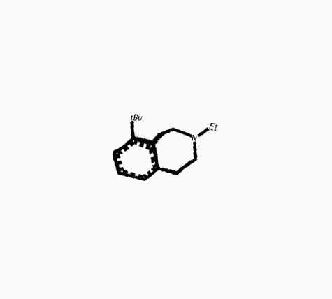 CCN1CCc2cccc(C(C)(C)C)c2C1